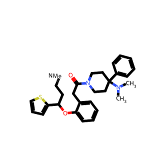 CNCCC(Oc1ccccc1CC(=O)N1CCC(c2ccccc2)(N(C)C)CC1)c1cccs1